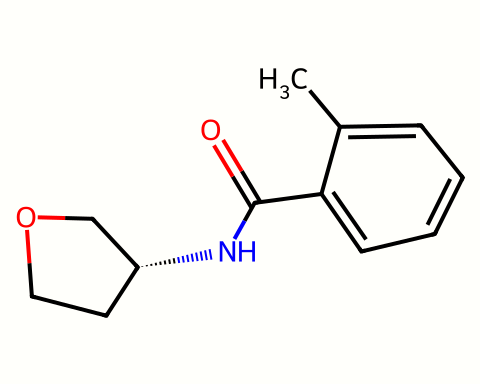 Cc1ccccc1C(=O)N[C@@H]1CCOC1